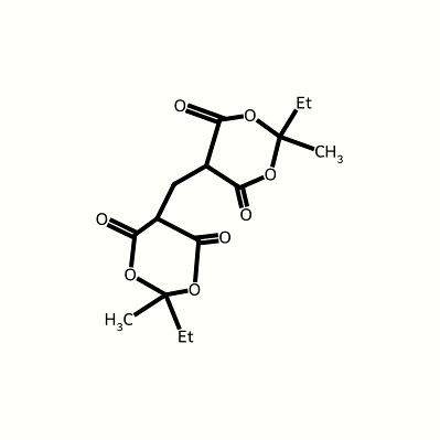 CCC1(C)OC(=O)C(CC2C(=O)OC(C)(CC)OC2=O)C(=O)O1